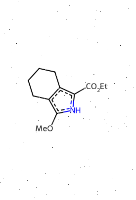 CCOC(=O)c1[nH]c(OC)c2c1CCCC2